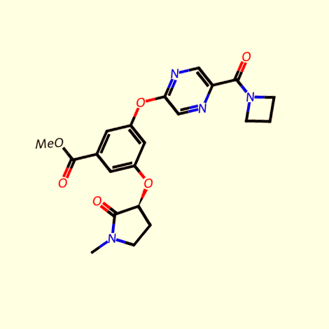 COC(=O)c1cc(Oc2cnc(C(=O)N3CCC3)cn2)cc(O[C@H]2CCN(C)C2=O)c1